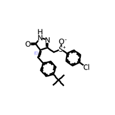 CC(C)(C)c1ccc(/C=C2/C(=O)NN=C2C[S+]([O-])c2ccc(Cl)cc2)cc1